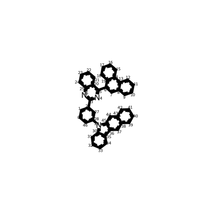 c1cc(-c2nc(-c3cc4ccccc4c4ccccc34)c3ccccc3n2)cc(-n2c3ccccc3c3cc4ccccc4cc32)c1